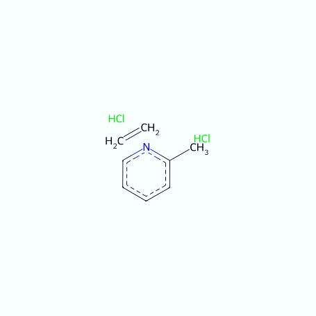 C=C.Cc1ccccn1.Cl.Cl